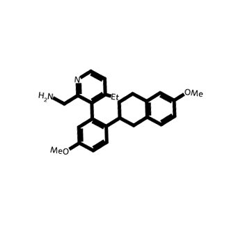 CCc1ccnc(CN)c1-c1cc(OC)ccc1C1CCc2cc(OC)ccc2C1